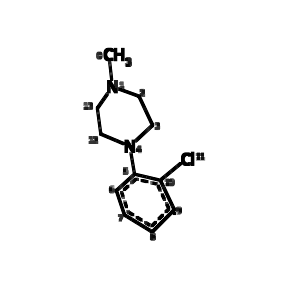 CN1CCN(c2ccc[c]c2Cl)CC1